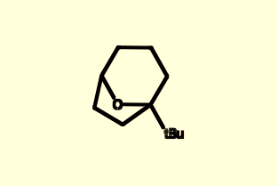 CC(C)(C)C12CCCC(CC1)O2